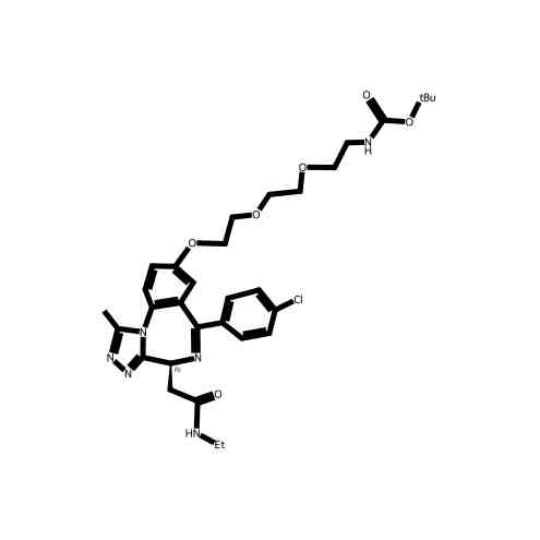 CCNC(=O)C[C@@H]1N=C(c2ccc(Cl)cc2)c2cc(OCCOCCOCCNC(=O)OC(C)(C)C)ccc2-n2c(C)nnc21